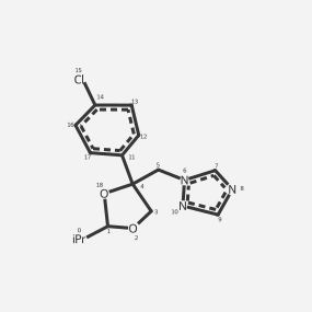 CC(C)C1OCC(Cn2cncn2)(c2ccc(Cl)cc2)O1